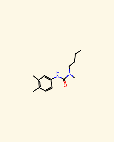 CCCCN(C)C(=O)Nc1ccc(C)c(C)c1